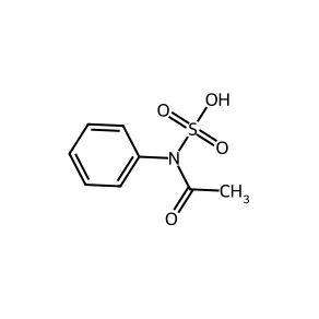 CC(=O)N(c1ccccc1)S(=O)(=O)O